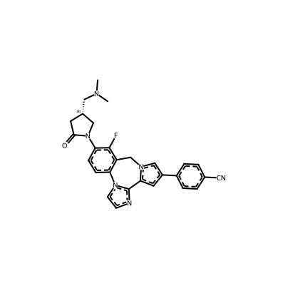 CN(C)C[C@H]1CC(=O)N(c2ccc3c(c2F)Cn2cc(-c4ccc(C#N)cc4)cc2-c2nccn2-3)C1